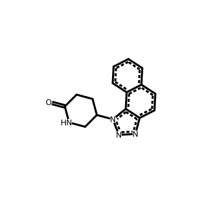 O=C1CCC(n2nnc3ccc4ccccc4c32)CN1